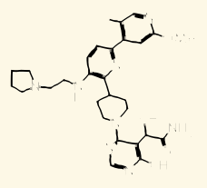 COc1cc(-c2ccc(NCCN3CCCC3)c(C3CCN(c4ncnc(C)c4C(C)C(N)=O)CC3)n2)c(F)cn1